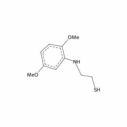 COc1ccc(OC)c(NCCS)c1